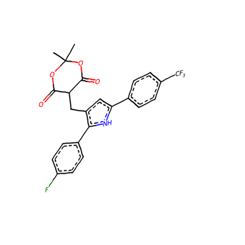 CC1(C)OC(=O)C(Cc2cc(-c3ccc(C(F)(F)F)cc3)[nH]c2-c2ccc(F)cc2)C(=O)O1